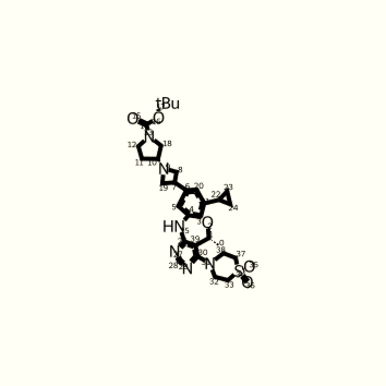 C[C@H]1Oc2c(cc(C3CN([C@@H]4CCN(C(=O)OC(C)(C)C)C4)C3)cc2C2CC2)Nc2ncnc(N3CCS(=O)(=O)CC3)c21